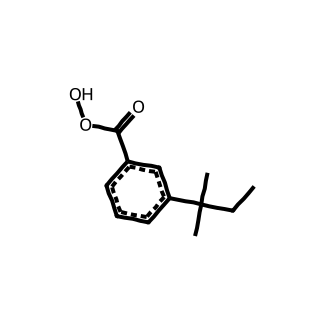 CCC(C)(C)c1cccc(C(=O)OO)c1